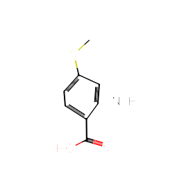 CSc1ccc(C(=O)O)cc1.[NaH]